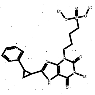 CCOP(=O)(CCCCn1c(=O)n(CC)c(=O)c2[nH]c(C3CC3c3ccccc3)nc21)OCC